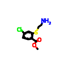 COC(=O)c1ccc(Cl)cc1SCCN